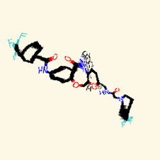 CN1C(=O)c2cc(NC(=O)c3ccc(C(F)(F)F)cc3)ccc2OC[C@@H]2O[C@H](CNC(=O)CN3CCC(F)(F)C3)CC[C@@H]21